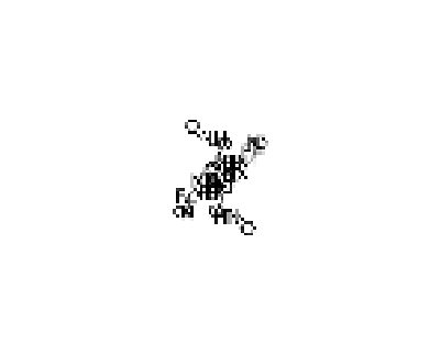 O=C(NCc1ccccc1CNCc1ccccc1)C(C(C(=O)NCc1ccccc1CNCc1ccccc1)n1c(Cl)cnc(NCC(F)(F)c2ccccn2)c1=O)n1c(Cl)cnc(NCC(F)(F)c2ccccn2)c1=O